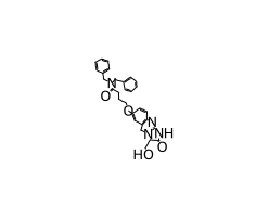 O=C1NC2=Nc3ccc(OCCCC(=O)N(Cc4ccccc4)Cc4ccccc4)cc3CN2C1CO